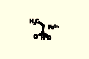 CC[PH](=O)[O-].[Fe+3]